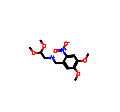 COc1cc(C[N]CC(OC)OC)c([N+](=O)[O-])cc1OC